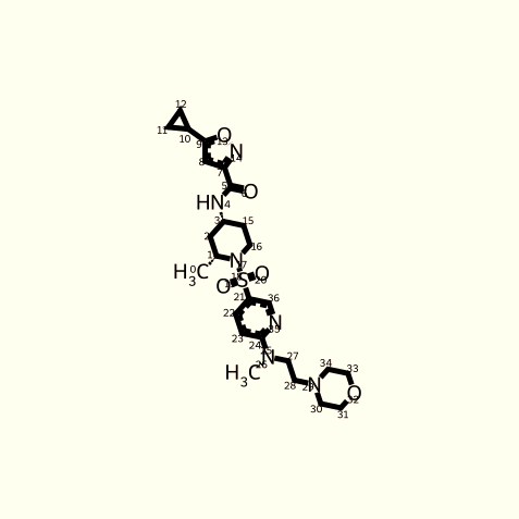 C[C@@H]1C[C@H](NC(=O)c2cc(C3CC3)on2)CCN1S(=O)(=O)c1ccc(N(C)CCN2CCOCC2)nc1